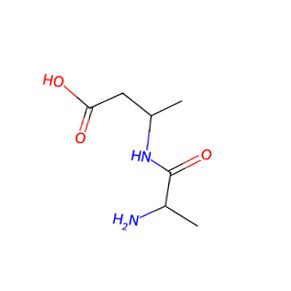 CC(CC(=O)O)NC(=O)C(C)N